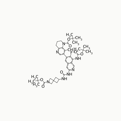 Cc1c(-c2cc3cc(NC(=O)NC4CC5(C4)CN(C(=O)OC(C)(C)C)C5)ncc3c(NC(=O)OC(C)(C)C)c2F)cnc2c1N(C(=O)OC(C)(C)C)CCC2